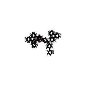 c1ccc(-c2ccc(N(c3ccc(-c4ccc(-c5cccc6c7ccccc7c7c(c(-c8ccccc8)c8ccccn87)c56)cc4)cc3)c3ccc(-c4ccccc4-c4ccccc4)cc3)cc2)cc1